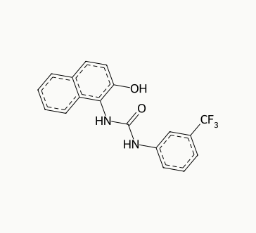 O=C(Nc1cccc(C(F)(F)F)c1)Nc1c(O)ccc2ccccc12